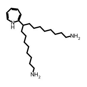 NCCCCCCCCC(CCCCCCCCN)C1=CC=CC=CN1